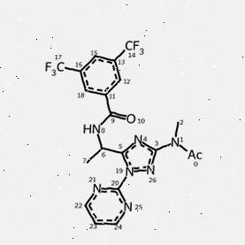 CC(=O)N(C)c1nc(C(C)NC(=O)c2cc(C(F)(F)F)cc(C(F)(F)F)c2)n(-c2ncccn2)n1